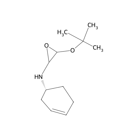 CC(C)(C)OC1OC1N[C@H]1CC=CCC1